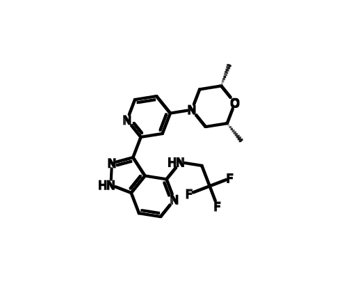 C[C@@H]1CN(c2ccnc(-c3n[nH]c4ccnc(NCC(F)(F)F)c34)c2)C[C@H](C)O1